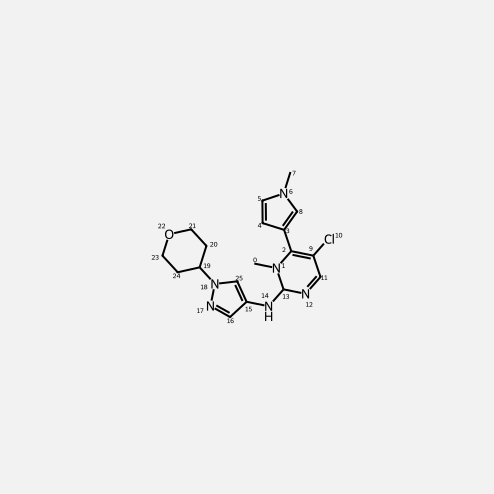 CN1C(c2ccn(C)c2)=C(Cl)C=NC1Nc1cnn(C2CCOCC2)c1